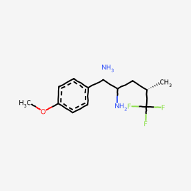 COc1ccc(CC(N)C[C@H](C)C(F)(F)F)cc1.N